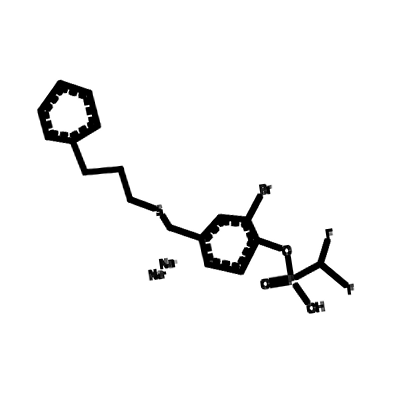 O=P(O)(Oc1ccc(CSCCCc2ccccc2)cc1Br)C(F)F.[Na].[Na]